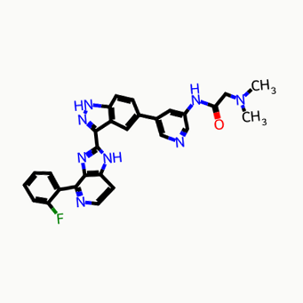 CN(C)CC(=O)Nc1cncc(-c2ccc3[nH]nc(-c4nc5c(-c6ccccc6F)nccc5[nH]4)c3c2)c1